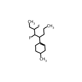 CCCC(C1=CCC(C)CC1)C(F)C(F)CC